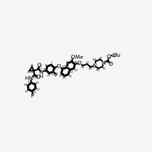 COc1cc2c(Oc3ccc(NC(=O)C4(C(=O)Nc5ccc(F)cc5)CC4)cc3F)cccc2cc1OCCCN1CCN(C(=O)OC(C)(C)C)CC1